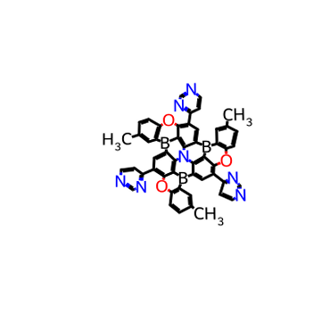 Cc1ccc2c(c1)B1c3cc(-c4ccncn4)c4c5c3N3c6c(cc(-c7ccncn7)c(c61)O2)B1c2cc(C)ccc2Oc2c(-c6ccncn6)cc(c3c21)B5c1cc(C)ccc1O4